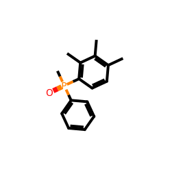 Cc1ccc(P(C)(=O)c2ccccc2)c(C)c1C